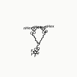 CCCCCCOCC(COCCCCCC)OC(=O)CCCCCCCN(CCCCCCCC(=O)OC(COCCCCCC)COCCCCCC)CCC(=O)Oc1c(F)c(F)c(F)c(F)c1F